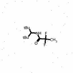 CC(F)(F)C(=O)NC(C(C)(C)C)C(C)(C)C